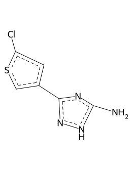 Nc1nc(-c2csc(Cl)c2)n[nH]1